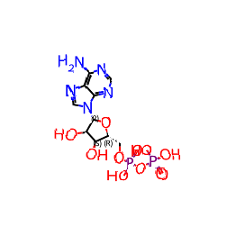 Nc1ncnc2c1ncn2[C@@H]1O[C@H](COP(=O)(O)OP(=O)(O)O)[C@@H](O)C1O